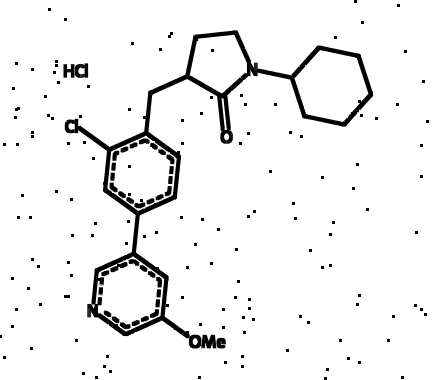 COc1cncc(-c2ccc(CC3CCN(C4CCCCC4)C3=O)c(Cl)c2)c1.Cl